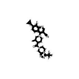 CC1CN(c2c(C#N)cnc3c(F)c(C4CC4)ccc23)CCC1C(=O)N1CCn2c(nnc2C(F)(F)F)C1